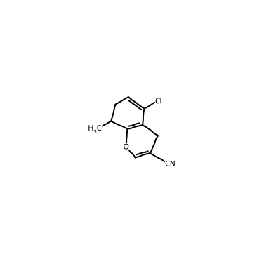 CC1CC=C(Cl)C2=C1OC=C(C#N)C2